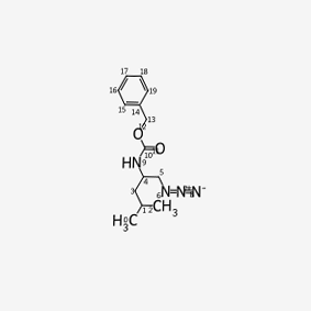 CC(C)CC(CN=[N+]=[N-])NC(=O)OCc1ccccc1